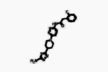 Nc1nnc(C2CCN(c3ccc(NC(=O)Cc4ccccc4F)nn3)CC2)s1